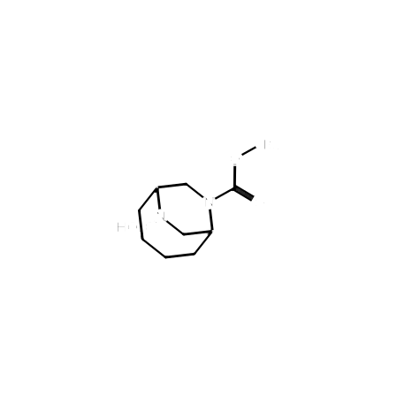 CC(C)(C)OC(=O)N1CC2CCCCC1CN2C(=O)O